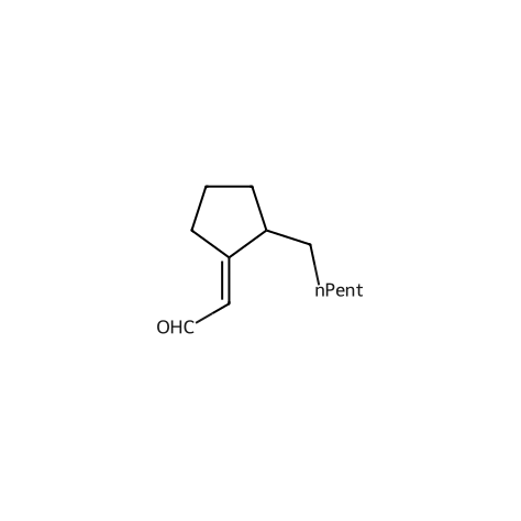 CCCCCCC1CCCC1=CC=O